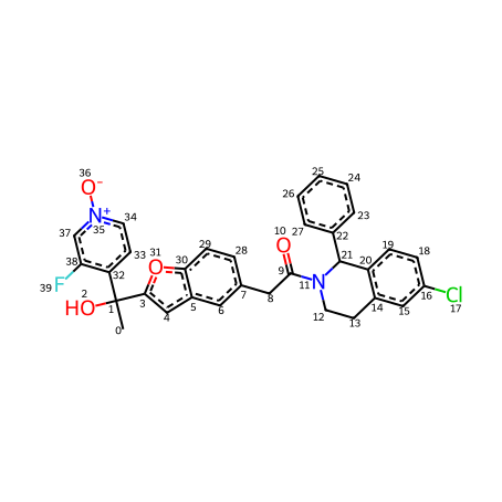 CC(O)(c1cc2cc(CC(=O)N3CCc4cc(Cl)ccc4C3c3ccccc3)ccc2o1)c1cc[n+]([O-])cc1F